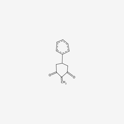 C=C1C(=O)CC(c2ccccc2)CC1=O